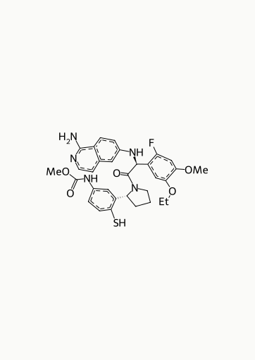 CCOc1cc([C@H](Nc2ccc3c(N)nccc3c2)C(=O)N2CCC[C@@H]2c2cc(NC(=O)OC)ccc2S)c(F)cc1OC